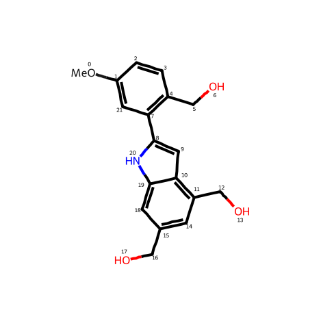 COc1ccc(CO)c(-c2cc3c(CO)cc(CO)cc3[nH]2)c1